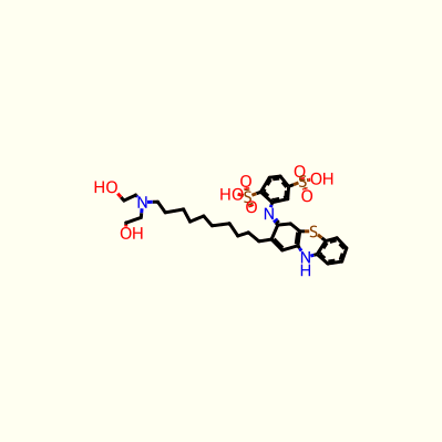 O=S(=O)(O)c1ccc(S(=O)(=O)O)c(N=C2CC3=C(C=C2CCCCCCCCCCN(CCO)CCO)Nc2ccccc2S3)c1